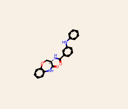 O=C(N[C@H]1COc2ccccc2NC1=O)c1cccc(Nc2ccccc2)c1